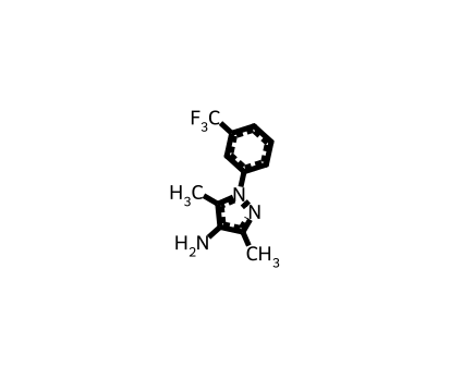 Cc1nn(-c2cccc(C(F)(F)F)c2)c(C)c1N